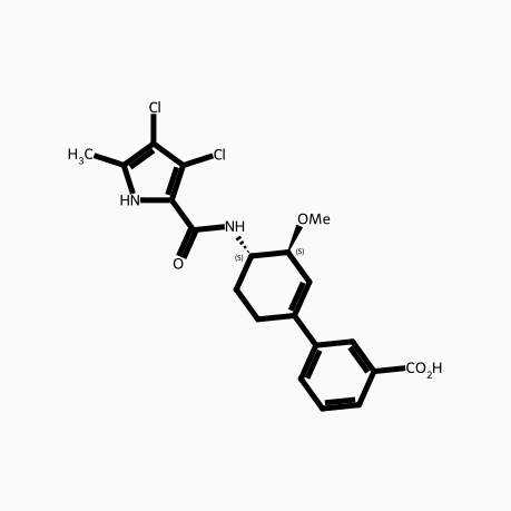 CO[C@H]1C=C(c2cccc(C(=O)O)c2)CC[C@@H]1NC(=O)c1[nH]c(C)c(Cl)c1Cl